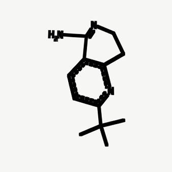 CC(C)(C)c1ccc2c(n1)CCN=C2N